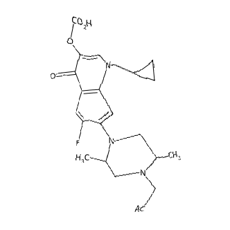 CC(=O)CN1CC(C)N(c2cc3c(cc2F)c(=O)c(OC(=O)O)cn3C2CC2)CC1C